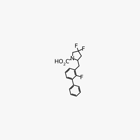 O=C(O)N1CC(F)(F)CC1Cc1cccc(-c2ccccc2)c1F